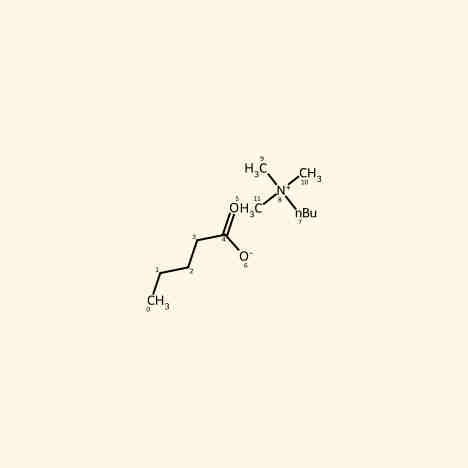 CCCCC(=O)[O-].CCCC[N+](C)(C)C